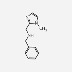 Cn1ccnc1CNCc1ccccc1